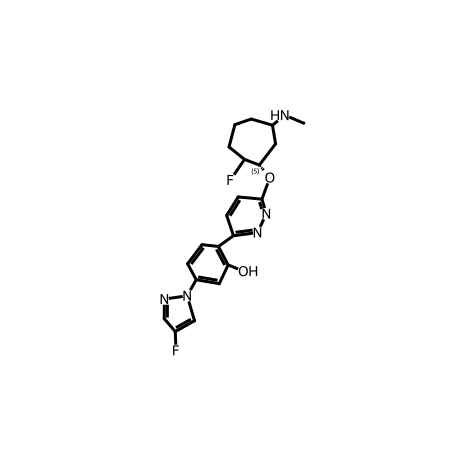 CNC1CCCC(F)[C@@H](Oc2ccc(-c3ccc(-n4cc(F)cn4)cc3O)nn2)C1